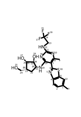 Cc1ccc2nc(-c3c(C)nc(NCC(F)(F)F)nc3N[C@@H]3C[C@H](CO)[C@@H](O)[C@H]3O)sc2c1